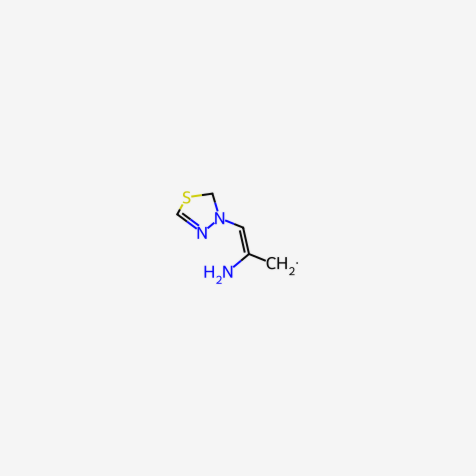 [CH2]C(N)=CN1CSC=N1